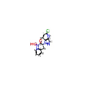 O=C(NO)C(Cc1ccccc1)n1ncc2nc(Cl)ccc21